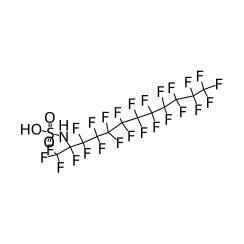 O=S(=O)(O)NC(F)(C(F)(F)F)C(F)(F)C(F)(F)C(F)(F)C(F)(F)C(F)(F)C(F)(F)C(F)(F)C(F)(F)C(F)(F)C(F)(F)F